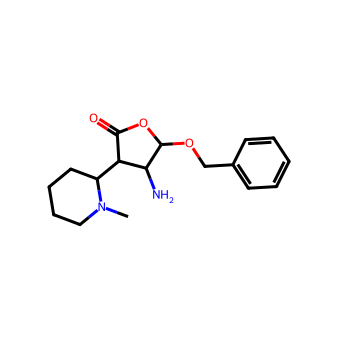 CN1CCCCC1C1C(=O)OC(OCc2ccccc2)C1N